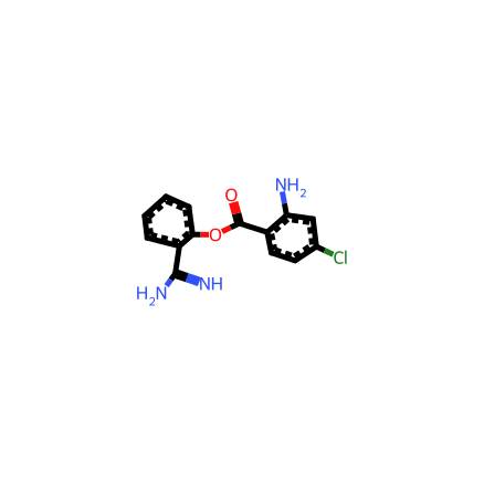 N=C(N)c1ccccc1OC(=O)c1ccc(Cl)cc1N